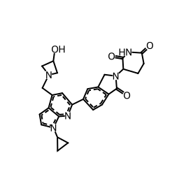 O=C1CCC(N2Cc3cc(-c4cc(CN5CC(O)C5)c5ccn(C6CC6)c5n4)ccc3C2=O)C(=O)N1